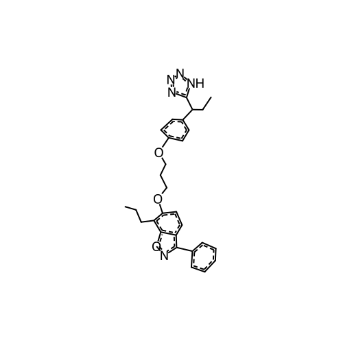 CCCc1c(OCCCOc2ccc(C(CC)c3nnn[nH]3)cc2)ccc2c(-c3ccccc3)noc12